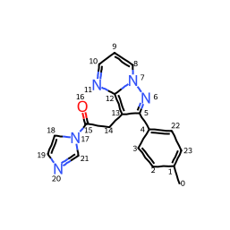 Cc1ccc(-c2nn3cccnc3c2CC(=O)n2ccnc2)cc1